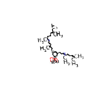 C=C(CC/C=C(\C)CCC=C(C)C)CC[C@@H]1C=C(CC/C=C(\C)CCC=C(C)C)C[C@H](C(=O)OCCCC)C1